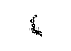 CCN1CCC(Nc2c(Cl)cnc3[nH]c(-c4ccc(N5CCCN(CCOC(C)C)CC5)cc4)nc23)CC1